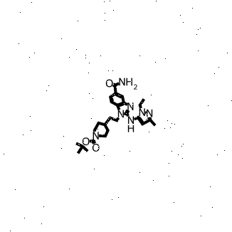 CCn1nc(C)cc1Nc1nc2cc(C(N)=O)ccc2n1CCC1CCN(C(=O)OC(C)(C)C)CC1